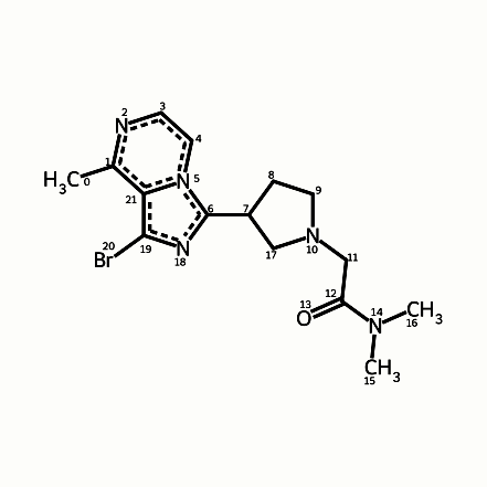 Cc1nccn2c(C3CCN(CC(=O)N(C)C)C3)nc(Br)c12